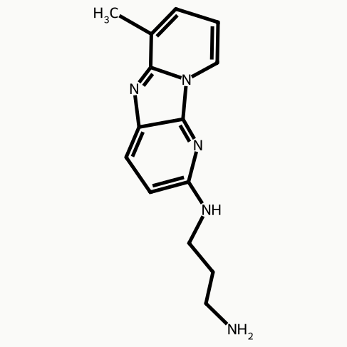 Cc1cccn2c1nc1ccc(NCCCN)nc12